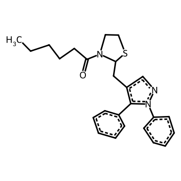 CCCCCC(=O)N1CCSC1Cc1cnn(-c2ccccc2)c1-c1ccccc1